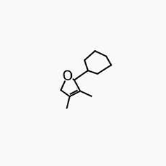 CC1=C(C)C(C2CCCCC2)OC1